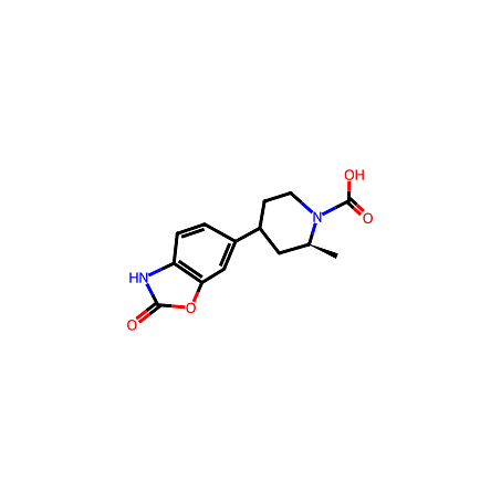 C[C@H]1CC(c2ccc3[nH]c(=O)oc3c2)CCN1C(=O)O